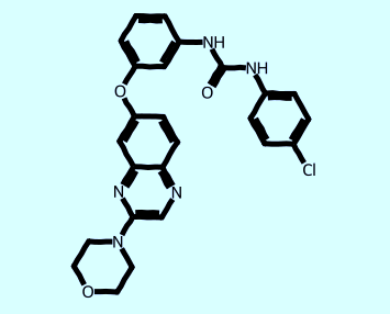 O=C(Nc1ccc(Cl)cc1)Nc1cccc(Oc2ccc3ncc(N4CCOCC4)nc3c2)c1